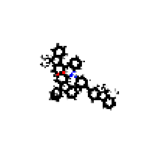 CC1(C)c2ccccc2-c2ccc(-c3ccc(N(c4ccccc4-c4cccc5c4-c4ccccc4C5(C)C)c4cccc5c4-c4ccccc4C54CC5CCC4C5)cc3)cc21